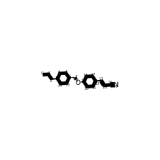 CCC[C@H]1CC[C@H](CO[C@H]2CC[C@H](C=CC#N)CC2)CC1